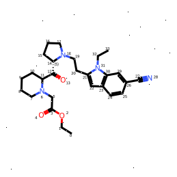 CCOC(=O)CN1CCCCC1C(=O)[C@@H]1CCCN1CCc1cc2ccc(C#N)cc2n1CC